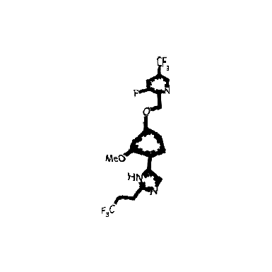 COc1cc(OCc2ncc(C(F)(F)F)cc2F)ccc1-c1cnc(CCC(F)(F)F)[nH]1